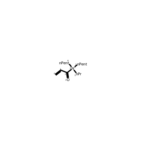 C=CC(=O)[N+](CCC)(CCCCC)CCCCC